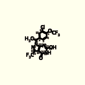 C[C@@H](c1ccc(OC(F)(F)F)c(Cl)c1)n1nc(C(F)(F)F)c2c(=O)[nH]c(O)nc21